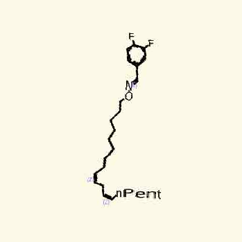 CCCCC/C=C\C/C=C\CCCCCCCCO/N=C/c1ccc(F)c(F)c1